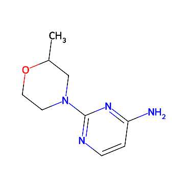 CC1CN(c2nccc(N)n2)CCO1